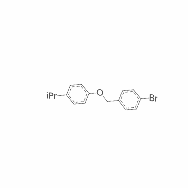 CC(C)c1ccc(OCc2ccc(Br)cc2)cc1